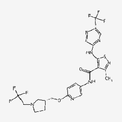 Cc1nsc(Nc2cnc(C(F)(F)F)cn2)c1C(=O)Nc1ccc(OC[C@@H]2CCN(CC(F)(F)F)C2)nc1